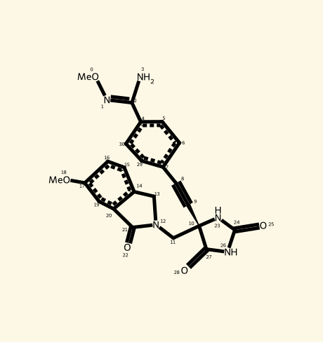 CON=C(N)c1ccc(C#C[C@@]2(CN3Cc4ccc(OC)cc4C3=O)NC(=O)NC2=O)cc1